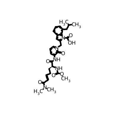 COC(=O)N[C@@H](CC/C=C/C(=O)N(C)C)C(=O)Nc1cccn(Cc2cc3cccc(CC(C)C)c3n2C(=O)O)c1=O